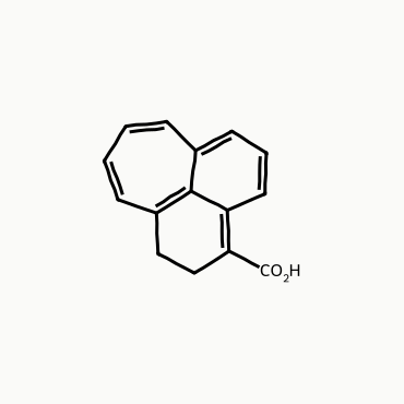 O=C(O)C1=c2cccc3c2=C(C=CC=C3)CC1